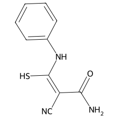 N#C/C(C(N)=O)=C(\S)Nc1ccccc1